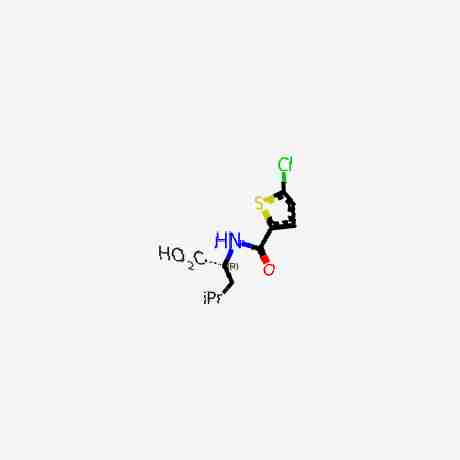 CC(C)C[C@@H](NC(=O)c1ccc(Cl)s1)C(=O)O